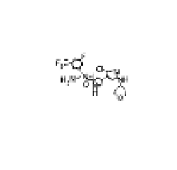 NC[C@H](NC(=O)c1cc(-c2cc(NC3CCOCC3)ncc2Cl)c[nH]1)c1cc(F)cc(C(F)(F)F)c1